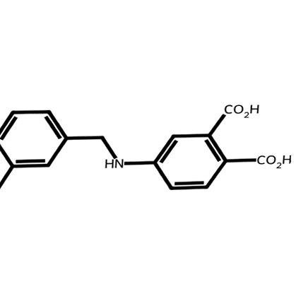 O=C(O)c1ccc(NCc2cccc(Cl)c2)cc1C(=O)O